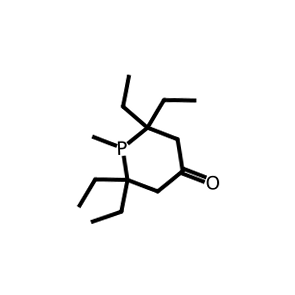 CCC1(CC)CC(=O)CC(CC)(CC)P1C